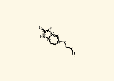 O=c1[nH]c2ccc(CCCCl)cc2o1